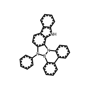 c1ccc(N2B3c4ccccc4-c4ccccc4N3c3c2ccc2c3[nH]c3ccccc32)cc1